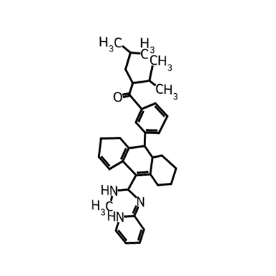 CNC(/N=c1/cccc[nH]1)C1=C2CCCCC2C(c2cccc(C(=O)C(CC(C)C)C(C)C)c2)C2=C1C=CCC2